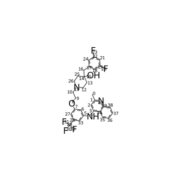 Cc1cc(Nc2cc(OCCN3CCC(O)(Cc4cc(F)cc(F)c4)CC3)cc(C(F)(F)F)c2)c2ccccc2n1